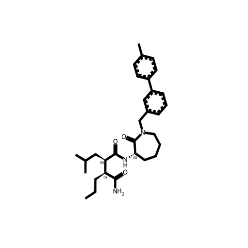 CCC[C@H](C(N)=O)[C@@H](CC(C)C)C(=O)N[C@H]1CCCCN(Cc2cccc(-c3ccc(C)cc3)c2)C1=O